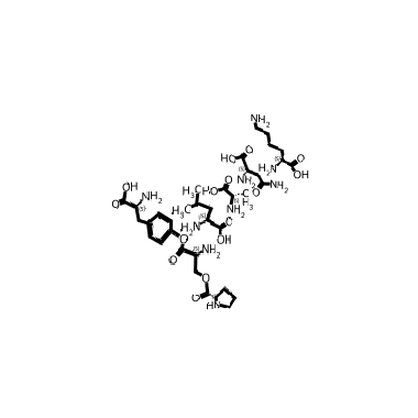 CC(C)C[C@H](N)C(=O)O.C[C@H](N)C(=O)O.NC(=O)C[C@H](N)C(=O)O.NCCCC[C@H](N)C(=O)O.N[C@@H](Cc1ccc(OC(=O)[C@@H](N)COC(=O)[C@@H]2CCCN2)cc1)C(=O)O